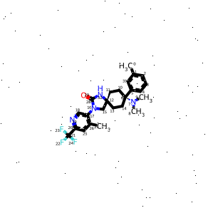 Cc1cccc([C@]2(N(C)C)CC[C@@]3(CC2)CN(c2cnc(C(F)(F)F)cc2C)C(=O)N3)c1